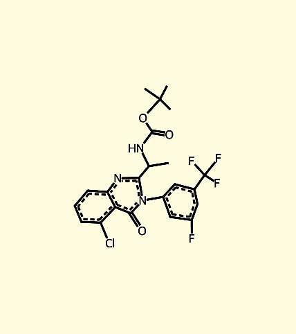 CC(NC(=O)OC(C)(C)C)c1nc2cccc(Cl)c2c(=O)n1-c1cc(F)cc(C(F)(F)F)c1